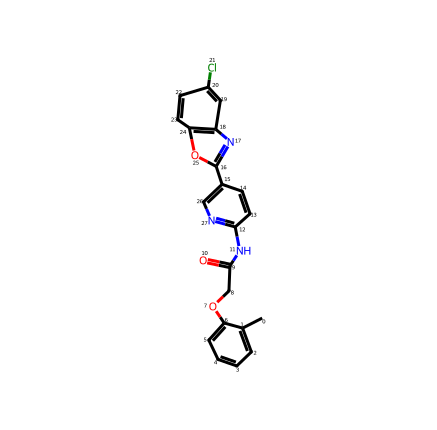 Cc1ccccc1OCC(=O)Nc1ccc(-c2nc3cc(Cl)ccc3o2)cn1